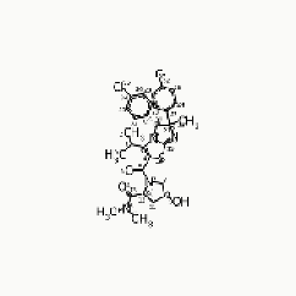 CC(C)C1=C(C(=O)N2C[C@@H](O)C[C@H]2C(=O)N(C)C)SC2=N[C@@](C)(c3ccc(Cl)cc3)[C@@H](c3ccc(Cl)cc3)N21